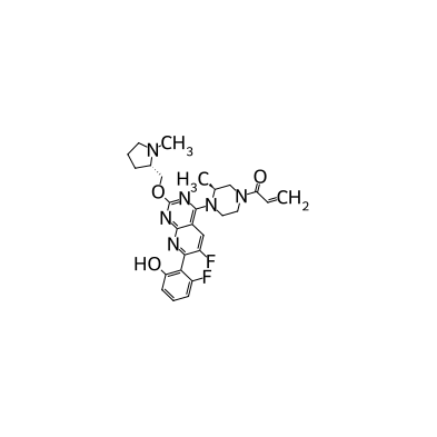 C=CC(=O)N1CCN(c2nc(OC[C@@H]3CCCN3C)nc3nc(-c4c(O)cccc4F)c(F)cc23)[C@@H](C)C1